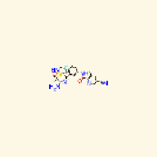 Cc1cc(C#N)cnc1C(=O)Nc1ccc(F)c([C@@]2(C)N=C(N)C(C)(C)[SH]3(=O)NCC[C@@H]23)c1